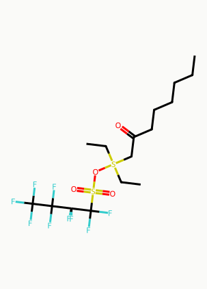 CCCCCCC(=O)CS(CC)(CC)OS(=O)(=O)C(F)(F)C(F)(F)C(F)(F)C(F)(F)F